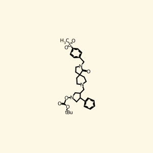 CC(C)(C)OC(=O)ON1CC(CN2CCC3(CC2)CCN(Cc2ccc(S(C)(=O)=O)cc2)C3=O)C(c2ccccc2)C1